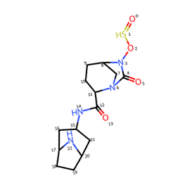 O=[SH]ON1C(=O)N2CC1CCC2C(=O)NC1CC2CCC(C1)N2